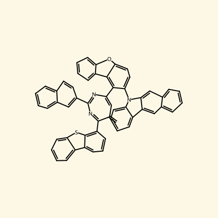 C=C1C=C(c2c(-n3c4ccccc4c4cc5ccccc5cc43)ccc3oc4ccccc4c23)N=C(c2ccc3ccccc3c2)N=C1c1cccc2c1sc1ccccc12